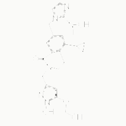 CCOc1cc(CN2CCc3c(cc(Cn4ccnc4NC)cc3C3CC3)C2=O)nn1C